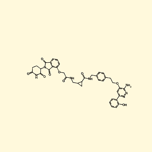 Nc1nnc(-c2ccccc2O)cc1OCCc1ccc(CNC(=O)C2CC2CNC(=O)COc2cccc3c2C(=O)N(C2CCC(=O)NC2=O)C3=O)cc1